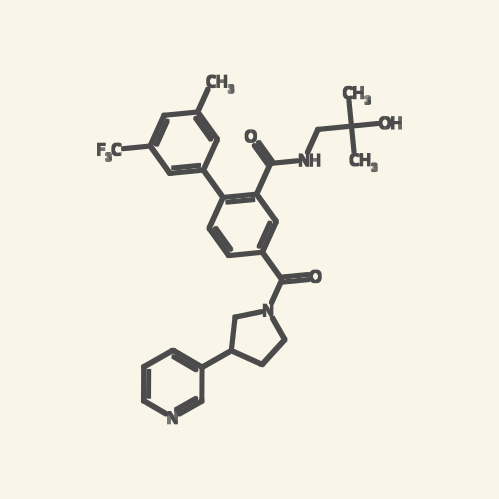 Cc1cc(-c2ccc(C(=O)N3CCC(c4cccnc4)C3)cc2C(=O)NCC(C)(C)O)cc(C(F)(F)F)c1